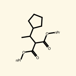 CCCOC(=O)C(C(=O)OCCC)C(C)C1CCCC1